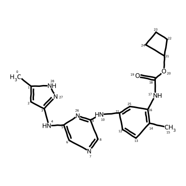 Cc1cc(Nc2cncc(Nc3ccc(C)c(NC(=O)OC4CCC4)c3)n2)n[nH]1